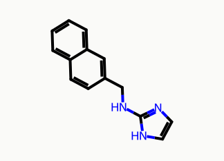 c1ccc2cc(CNc3ncc[nH]3)ccc2c1